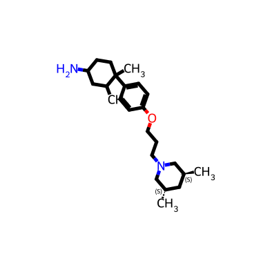 CC1CC(N)CCC1(C)c1ccc(OCCCN2C[C@@H](C)C[C@H](C)C2)cc1